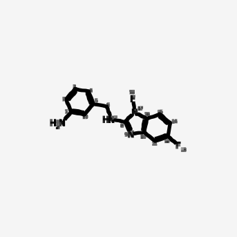 Nc1cccc(CNc2nc3cc(F)ccc3n2F)c1